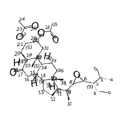 CC[C@@H](C(C)C)C1OC1[C@@H](C)[C@H]1CC[C@H]2[C@@H]3CC(=O)[C@H]4C[C@H](OC(C)=O)[C@H](OC(C)=O)C[C@]4(C)[C@H]3CC[C@]12C